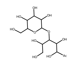 CC(=O)C(O)C(O)C(OC1OC(CO)C(O)C(O)C1O)C(O)CO